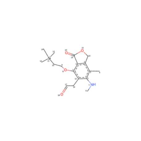 CNc1c(C)c2c(c(OCC[Si](C)(C)C)c1CC=O)C(=O)OC2